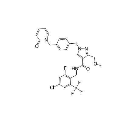 COCc1nn(Cc2ccc(Cn3ccccc3=O)cc2)cc1C(=O)NCc1c(F)cc(Cl)cc1C(F)(F)F